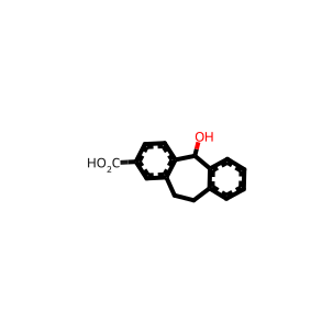 O=C(O)c1ccc2c(c1)CCc1ccccc1C2O